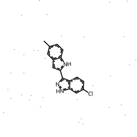 Cc1ccc2[nH]c(-c3n[nH]c4cc(Cl)ccc34)cc2c1